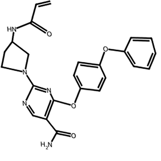 C=CC(=O)NC1CCN(c2ncc(C(N)=O)c(Oc3ccc(Oc4ccccc4)cc3)n2)C1